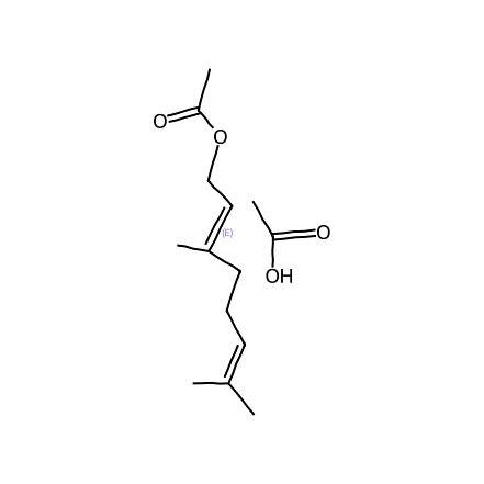 CC(=O)O.CC(=O)OC/C=C(\C)CCC=C(C)C